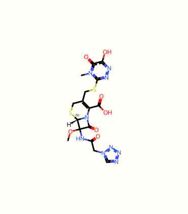 COC1(NC(=O)Cn2cnnn2)C(=O)N2C(C(=O)O)=C(CSc3nnc(O)c(=O)n3C)CS[C@H]21